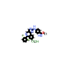 CCOC(=N)c1ccc(Nc2ncc3c(n2)-c2ccc(Cl)cc2C(c2c(F)cccc2F)=NC3)cc1.Cl